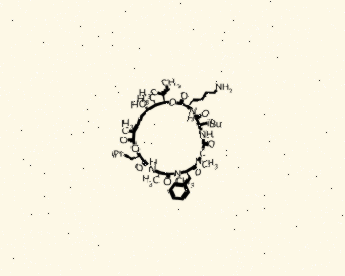 C/C=C(\C)[C@H]1OC(=O)[C@@H](CCCCN)NC(=O)C(C(C)CC)NC(=O)CN(C)C(=O)[C@@H](Cc2ccccc2)N(C)C(=O)[C@H](C)NC(=O)[C@@H](CC(C)C)OC(=O)/C(C)=C/C[C@H](O)[C@@H]1C